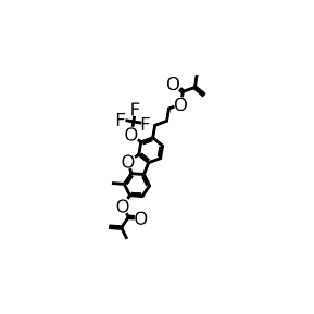 C=C(C)C(=O)OCCCc1ccc2c(oc3c(C)c(OC(=O)C(=C)C)ccc32)c1OC(F)(F)F